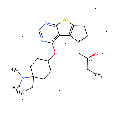 CC[C@H](O)C[C@H]1CCc2sc3ncnc(OC4CCC(CC)(N(C)C)CC4)c3c21